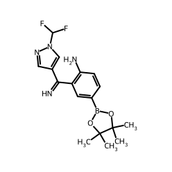 CC1(C)OB(c2ccc(N)c(C(=N)c3cnn(C(F)F)c3)c2)OC1(C)C